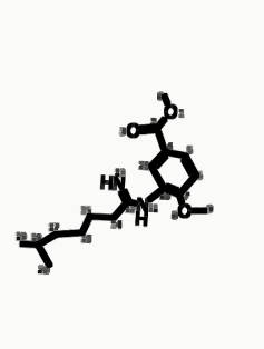 COC(=O)c1ccc(OC)c(NC(=N)CCCCC(C)C)c1